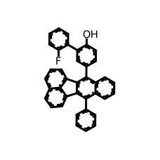 Oc1ccc(-c2c3c(c(-c4ccccc4)c4ccccc24)-c2cccc4cccc-3c24)cc1-c1ccccc1F